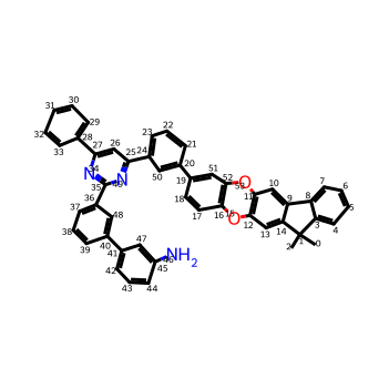 CC1(C)c2ccccc2-c2cc3c(cc21)Oc1ccc(-c2cccc(-c4cc(-c5ccccc5)nc(-c5cccc(-c6cccc(N)c6)c5)n4)c2)cc1O3